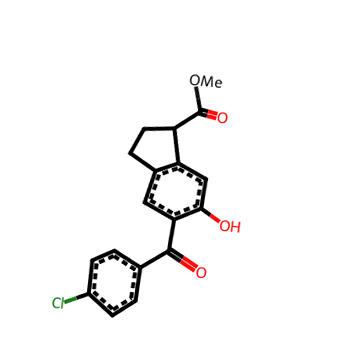 COC(=O)C1CCc2cc(C(=O)c3ccc(Cl)cc3)c(O)cc21